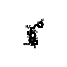 COC1C[C@H]2[C@@H]3CC[C@H]([C@H](C)CCc4cccc(Cl)n4)[C@@]3(C)CC[C@@H]2[C@@]2(C)CC[C@@H]3CC132